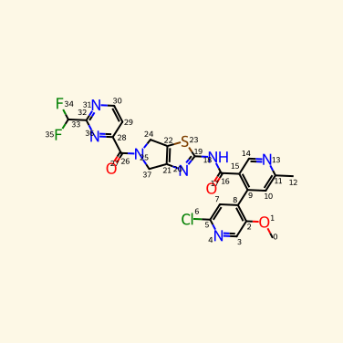 COc1cnc(Cl)cc1-c1cc(C)ncc1C(=O)Nc1nc2c(s1)CN(C(=O)c1ccnc(C(F)F)n1)C2